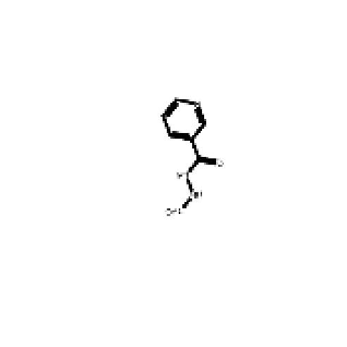 O=CNNC(=O)c1cccnc1